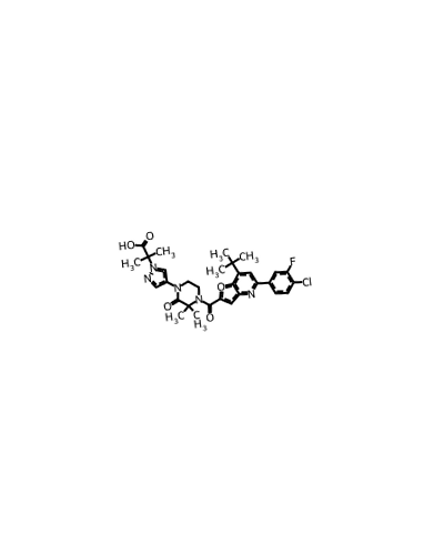 CC(C)(C)c1cc(-c2ccc(Cl)c(F)c2)nc2cc(C(=O)N3CCN(c4cnn(C(C)(C)C(=O)O)c4)C(=O)C3(C)C)oc12